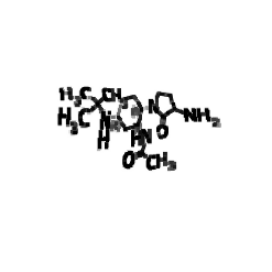 CC(=O)N[C@@H]1C[C@H](NC(C)(C)C)CC[C@@H]1N1CCC(N)C1=O